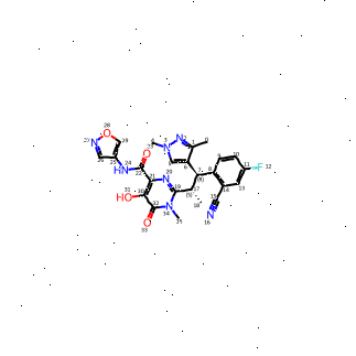 Cc1nn(C)cc1[C@@H](c1ccc(F)cc1C#N)[C@H](C)c1nc(C(=O)Nc2cnoc2)c(O)c(=O)n1C